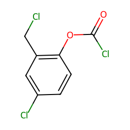 O=C(Cl)Oc1ccc(Cl)cc1CCl